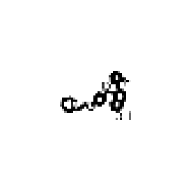 Oc1ccc2c3c(ccc2c1)-c1c(F)cccc1OC3c1ccc(OCCN2CCCCCC2)cc1